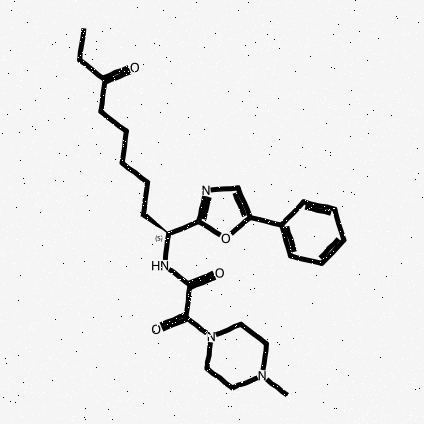 CCC(=O)CCCCC[C@H](NC(=O)C(=O)N1CCN(C)CC1)c1ncc(-c2ccccc2)o1